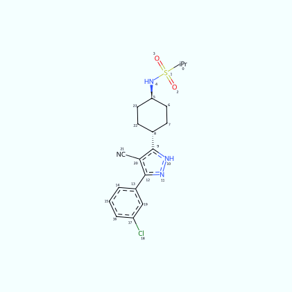 CC(C)S(=O)(=O)N[C@H]1CC[C@H](c2[nH]nc(-c3cccc(Cl)c3)c2C#N)CC1